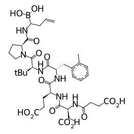 C=CCC(NC(=O)[C@@H]1CCCN1C(=O)[C@@H](NC(=O)[C@H](Cc1ccccc1C)NC(=O)[C@H](CCC(=O)O)NC(=O)[C@H](CC(=O)O)NC(=O)CCC(=O)O)C(C)(C)C)B(O)O